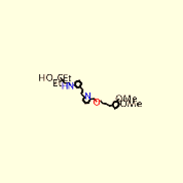 CCC(CC)(CCNc1cccc(C=Cc2cccc(COCCCCc3ccc(OC)c(OC)c3)n2)c1)C(=O)O